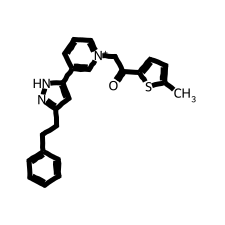 Cc1ccc(C(=O)C[n+]2cccc(-c3cc(CCc4ccccc4)n[nH]3)c2)s1